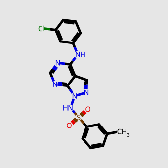 Cc1cccc(S(=O)(=O)Nn2ncc3c(Nc4cccc(Cl)c4)ncnc32)c1